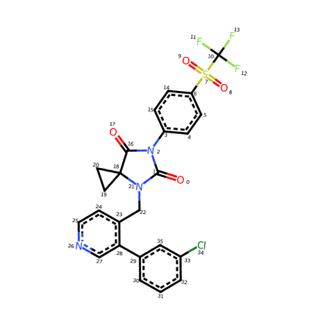 O=C1N(c2ccc(S(=O)(=O)C(F)(F)F)cc2)C(=O)C2(CC2)N1Cc1ccncc1-c1cccc(Cl)c1